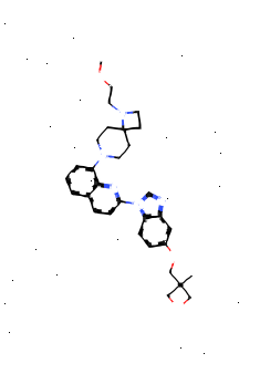 COCCN1CCC12CCN(c1cccc3ccc(-n4cnc5cc(OCC6(C)COC6)ccc54)nc13)CC2